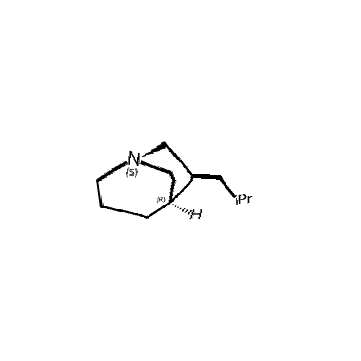 CC(C)CC1C[N@]2CCC[C@H]1C2